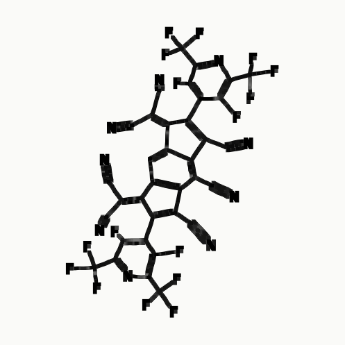 N#CC(C#N)=C1C(c2c(F)c(C(F)(F)F)nc(C(F)(F)F)c2F)=C(C#N)c2c1cc1c(c2C#N)C(C#N)=C(c2c(F)c(C(F)(F)F)nc(C(F)(F)F)c2F)C1=C(C#N)C#N